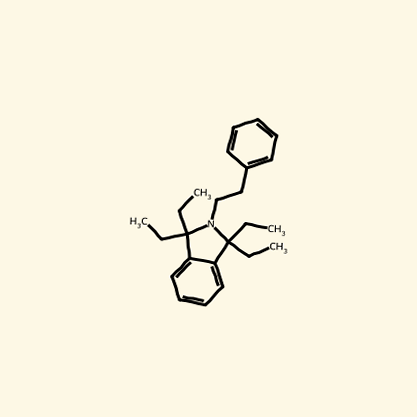 CCC1(CC)c2ccccc2C(CC)(CC)N1CCc1ccccc1